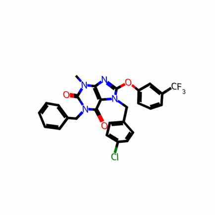 Cn1c(=O)n(Cc2ccccc2)c(=O)c2c1nc(Oc1cccc(C(F)(F)F)c1)n2Cc1ccc(Cl)cc1